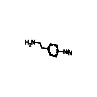 N#[N+]c1ccc(CCN)cc1